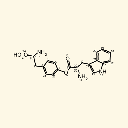 N[C@@H](Cc1ccc(OC(=O)[C@@H](N)Cc2c[nH]c3ccccc23)cc1)C(=O)O